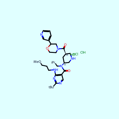 COCCCNc1nc(C(C)(C)C)ncc1C(=O)N(CC(C)C)[C@@H]1CNC[C@H](C(=O)N2CCOC(c3cccnc3)C2)C1.Cl.Cl.Cl